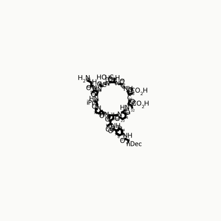 CCCCCCCCCCCC(=O)Nc1ccc(C(=O)NC(CC(=O)O)C(=O)CC2C(=O)N3CCCCC3C(=O)NC(C(C)C(=O)O)C(=O)CC(CC(=O)O)C(=O)NCC(=O)NC(CC(=O)O)C(=O)NCC(=O)NC(C(C)NC(=O)CCN)C(=O)NC(C(C)C)C(=O)N3CCCC3C(=O)NC2C)cc1